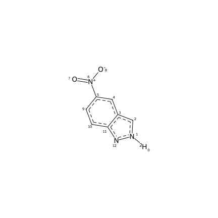 [2H]n1cc2cc([N+](=O)[O-])ccc2n1